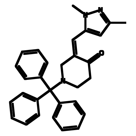 Cc1cc(C=C2CN(C(c3ccccc3)(c3ccccc3)c3ccccc3)CCC2=O)n(C)n1